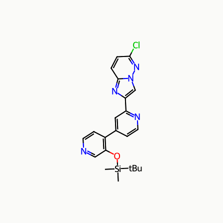 CC(C)(C)[Si](C)(C)Oc1cnccc1-c1ccnc(-c2cn3nc(Cl)ccc3n2)c1